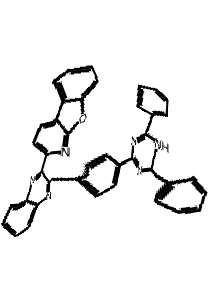 c1ccc(C2=NC(c3ccc(-c4nc5ccccc5nc4-c4ccc5c(n4)oc4ccccc45)cc3)=NC(c3ccccc3)N2)cc1